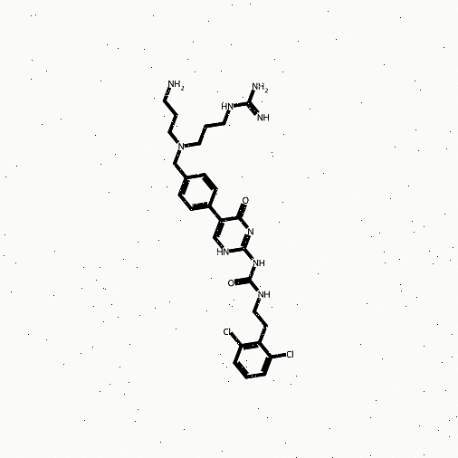 N=C(N)NCCCN(CCCN)Cc1ccc(-c2c[nH]c(NC(=O)NCCc3c(Cl)cccc3Cl)nc2=O)cc1